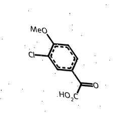 COc1ccc(C(=O)C(=O)O)cc1Cl